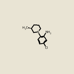 C[C@H]1CCCN(c2ccc(Cl)cc2N)C1